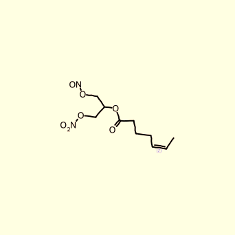 C/C=C\CCCC(=O)OC(CON=O)CO[N+](=O)[O-]